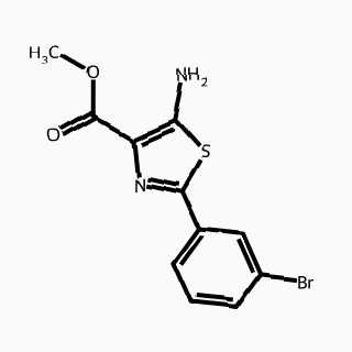 COC(=O)c1nc(-c2cccc(Br)c2)sc1N